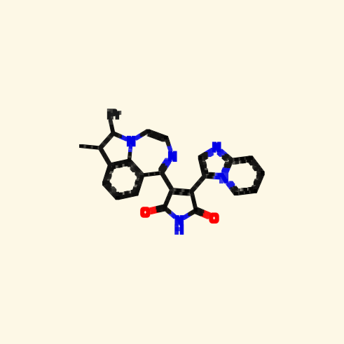 CC(C)C1C(C)c2cccc3c2N1C=CN=C3C1=C(c2cnc3ccccn23)C(=O)NC1=O